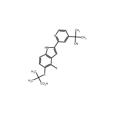 CC(C)(Sc1ccc2[nH]c(-c3cc(C(C)(C)C#N)ccn3)cc2c1F)C(=O)O